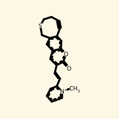 C[n+]1ccccc1/C=C/c1cc2cc3c(cc2oc1=O)C#CCCSC3